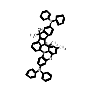 CC[C@]12C3=C(c4cccc(c41)B1c4ccc(N(c5ccccc5)c5ccccc5)cc4Oc4cc(C)cc2c41)C(C)(C)c1cc(N(c2ccccc2)c2ccccc2)ccc13